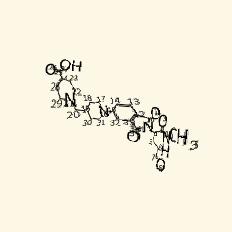 CNC(=O)C(CCC=O)N1C(=O)c2ccc(N3CCC(CN4CCC(C(=O)O)CC4)CC3)cc2C1=O